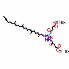 CC#CCCC/C(C)=C/CC/C(C)=C/CC/C=C(\C)CC/C=C(\C)CCCOP(=O)(NCC(=O)CCC(=O)OCCCCCC)NCC(=O)CCC(=O)OCCCCCC